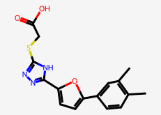 Cc1ccc(-c2ccc(-c3nnc(SCC(=O)O)[nH]3)o2)cc1C